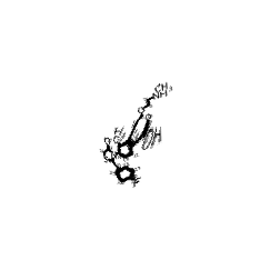 CNCCOCCc1c(C(=O)O)ccc(N2C(=O)CSC2c2ccc(F)cc2)c1C